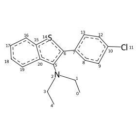 CCN(CC)c1c(-c2ccc(Cl)cc2)sc2ccccc12